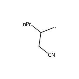 [CH2]C(CC#N)CCC